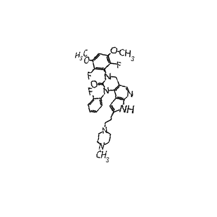 COc1cc(OC)c(F)c(N2Cc3cnc4[nH]c(CCN5CCN(C)CC5)cc4c3N(c3ccccc3F)C2=O)c1F